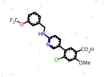 COc1cc(Cl)c(-c2ccc(NCc3cccc(OC(F)(F)F)c3)nc2)cc1C(=O)O